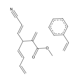 C=CC=CC(C=CC#N)C(=C)C(=O)OC.C=Cc1ccccc1